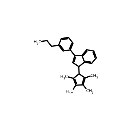 CCCc1cccc(C2=CC([C]3C(C)=C(C)C(C)=C3C)c3ccccc32)c1